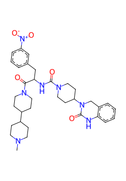 CN1CCC(C2CCN(C(=O)C(Cc3cccc([N+](=O)[O-])c3)NC(=O)N3CCC(N4Cc5ccccc5NC4=O)CC3)CC2)CC1